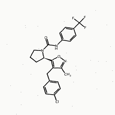 Cc1noc([C@H]2CCCN2C(=O)Nc2ccc(C(F)(F)F)cc2)c1Cc1ccc(Cl)cc1